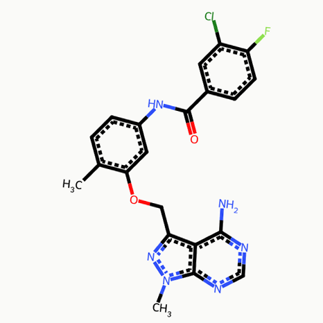 Cc1ccc(NC(=O)c2ccc(F)c(Cl)c2)cc1OCc1nn(C)c2ncnc(N)c12